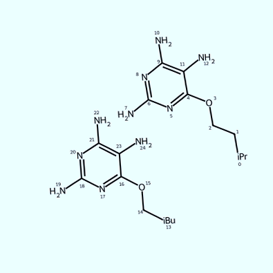 CC(C)CCOc1nc(N)nc(N)c1N.CCC(C)COc1nc(N)nc(N)c1N